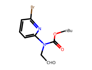 CCCCOC(=O)N(CC=O)c1cccc(Br)n1